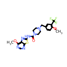 COc1ccc(CN2CCN(C(=O)Nc3nc4c(OC)ncnc4s3)CC2)cc1C(F)(F)F